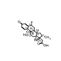 C[C@H]1C[C@H]2[C@@H]3C[C@H](F)C4=CC(=O)C=C[C@]4(C)[C@@]3(F)[C@@H](O)C[C@]2(C)[C@@]1(O)CC(=O)O